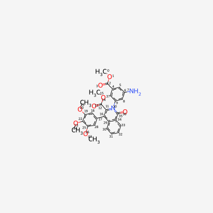 COC(=O)c1cc(N)cc(-n2c(C(=O)OC)c(-c3cc(OC)c(OC)c(OC)c3)c3ccccc3c2=O)c1